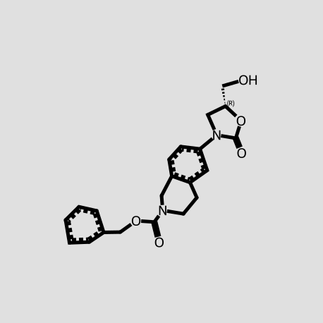 O=C(OCc1ccccc1)N1CCc2cc(N3C[C@H](CO)OC3=O)ccc2C1